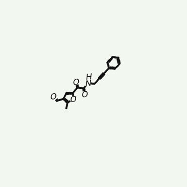 Cc1oc(C(=O)C(=O)NCC#Cc2ccccc2)cc1C=O